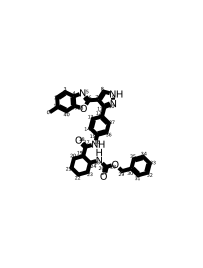 Cc1ccc2nc(-c3c[nH]nc3-c3ccc(NC(=O)C4CCCCC4NC(=O)OCc4ccccc4)cc3)oc2c1